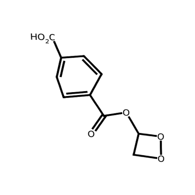 O=C(O)c1ccc(C(=O)OC2COO2)cc1